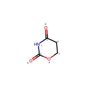 O=C1[C]COC(=O)N1